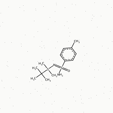 Cc1ccc(S(N)(=O)=NS(C)(C)C(C)(C)C)cc1